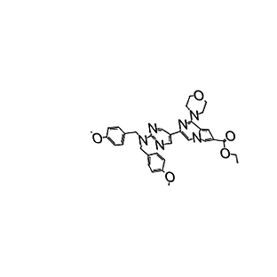 CCOC(=O)c1cc2c(N3CCOCC3)nc(-c3cnc(N(Cc4ccc(OC)cc4)Cc4ccc(OC)cc4)nc3)cn2c1